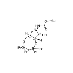 CC(C)[Si]1(C(C)C)OC[C@H]2C[C@@H](NC(=O)OC(C)(C)C)[C@H](O)[C@@H]2O[Si](C(C)C)(C(C)C)O1